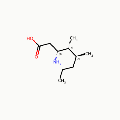 CCC[C@H](C)[C@@H](C)[C@H](N)CC(=O)O